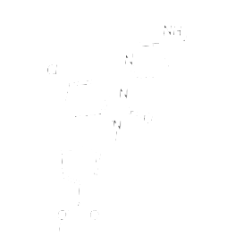 COC(=O)c1cccc(Cn2c(=O)n(-c3ccc(N)cn3)c3cc(Cl)ccc32)c1